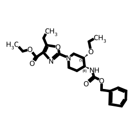 CCOC(=O)c1nc(N2CC[C@@H](NC(=O)OCc3ccccc3)[C@@H](OCC)C2)oc1CC